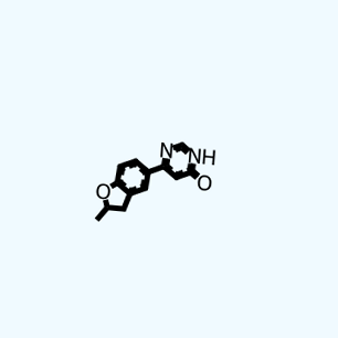 CC1Cc2cc(-c3cc(=O)[nH]cn3)ccc2O1